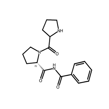 O=C(NC(=O)[C@@H]1CCCN1C(=O)C1CCCN1)c1ccccc1